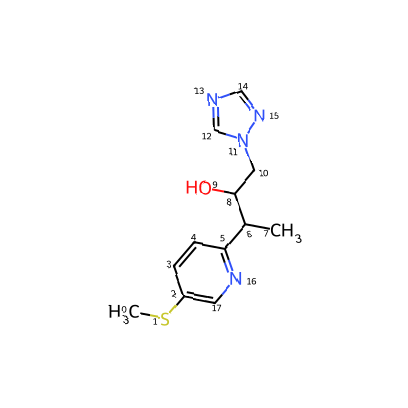 CSc1ccc(C(C)C(O)Cn2cncn2)nc1